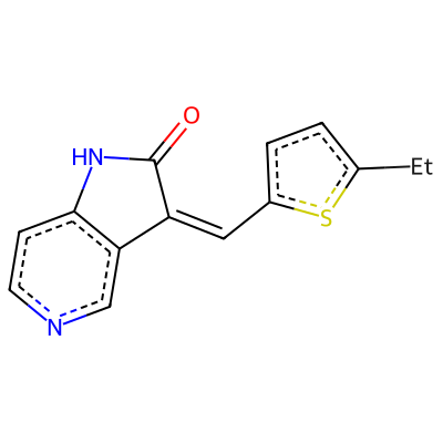 CCc1ccc(C=C2C(=O)Nc3ccncc32)s1